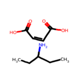 CCC(N)CC.O=C(O)/C=C\C(=O)O